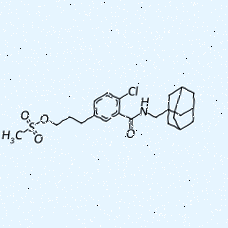 CS(=O)(=O)OCCCc1ccc(Cl)c(C(=O)NCC23CC4CC(CC(C4)C2)C3)c1